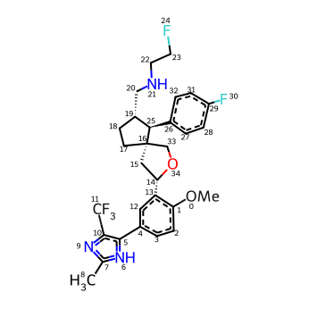 COc1ccc(-c2[nH]c(C)nc2C(F)(F)F)cc1[C@@H]1C[C@@]2(CC[C@H](CNCCF)[C@H]2c2ccc(F)cc2)CO1